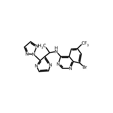 CC(Nc1ncnc2c(Br)cc(C(F)(F)F)cc12)c1nccnc1-n1nccn1